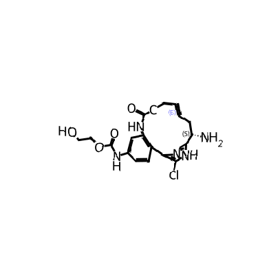 N[C@H]1C/C=C/CCC(=O)Nc2cc(NC(=O)OCCO)ccc2-c2nc1[nH]c2Cl